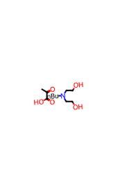 CC(=O)C(=O)O.CCCCN(CCO)CCO